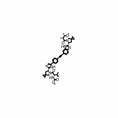 COC(=O)N[C@H](C(=O)N1CC2(CC2)C[C@H]1c1ncc(-c2ccc(C#Cc3ccc4nc([C@@H]5CC6(CC6)CN5C(=O)[C@@H](C)[C@@H](C)OC)[nH]c4c3)cc2)[nH]1)C(C)C